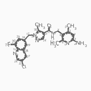 Cc1cc(N)nc(C)c1CNC(=O)c1cnn(Cc2cc(F)c3ncc(Cl)cc3c2)c1C